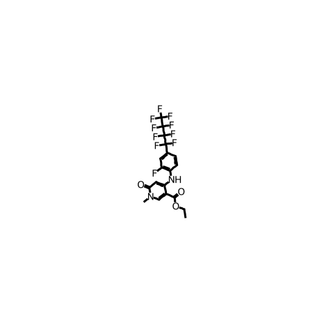 CCOC(=O)c1cn(C)c(=O)cc1Nc1ccc(C(F)(F)C(F)(F)C(F)(F)C(F)(F)F)cc1F